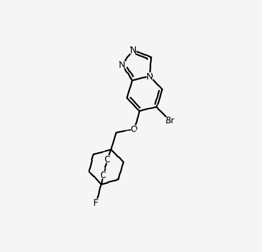 FC12CCC(COc3cc4nncn4cc3Br)(CC1)CC2